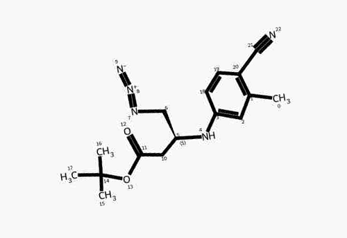 Cc1cc(N[C@H](CN=[N+]=[N-])CC(=O)OC(C)(C)C)ccc1C#N